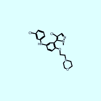 Cn1ncc(Cl)c1-c1cc(Nc2cccc(Cl)c2)ccc1OCCN1CCOCC1